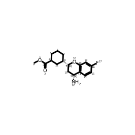 COC(=O)C1CCCC([C@H]2C[C@@H](N)c3ccc(F)cc3O2)C1